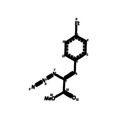 CCc1ccc(C=C(N=[N+]=[N-])C(=O)OC)cc1